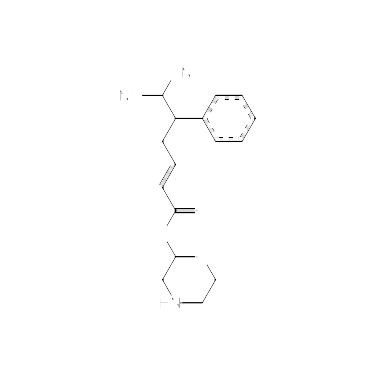 N#CC(C#N)C(C/C=C/C(=O)OC1CNCCO1)c1ccccc1